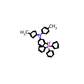 Cc1ccc(N(c2ccc(C)cc2)c2cccc(C[PH](c3ccccc3)(c3ccccc3)c3ccccc3)c2)cc1